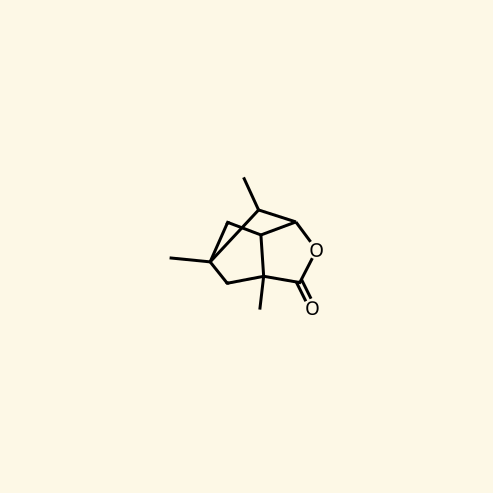 CC1C2OC(=O)C3(C)CC1(C)CC23